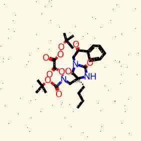 CCCC[C@@]1(CN(OC(=O)C(=O)OOC(C)(C)C)C(=O)OC(C)(C)C)NC(=O)N(CC(=O)c2ccccc2)C1=O